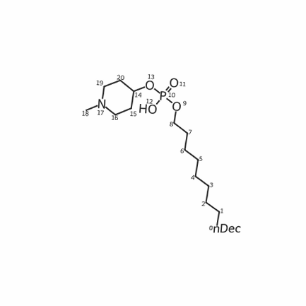 CCCCCCCCCCCCCCCCCCOP(=O)(O)OC1CCN(C)CC1